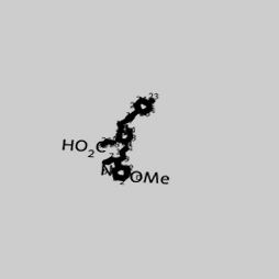 COc1ccc2nccc(CCC[C@@H]3CCN(CC#Cc4ccc(C)cc4)C[C@@H]3CCC(=O)O)c2c1